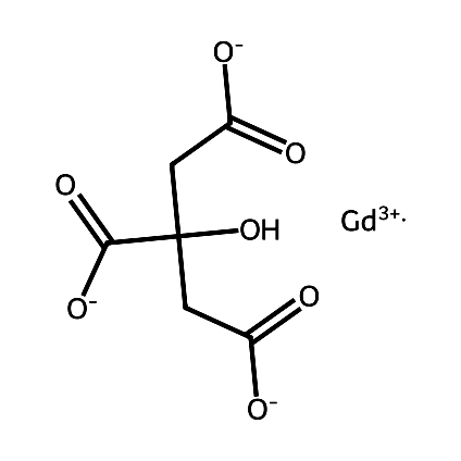 O=C([O-])CC(O)(CC(=O)[O-])C(=O)[O-].[Gd+3]